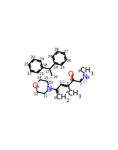 C=C(/C=C(\C)C(=O)/C=N\C)N1CCOC[C@@H]1CC(c1ccccc1)c1ccccc1